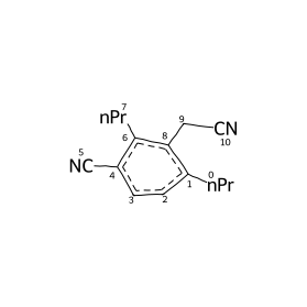 CCCc1ccc(C#N)c(CCC)c1CC#N